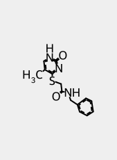 Cc1c[nH]c(=O)nc1SCC(=O)NCc1ccccc1